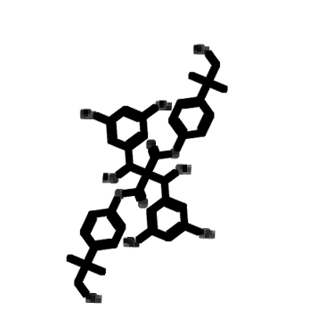 CC(C)(C)CC(C)(C)c1ccc(OC(=O)C(C(=O)Oc2ccc(C(C)(C)CC(C)(C)C)cc2)(C(O)c2cc(C(C)(C)C)cc(C(C)(C)C)c2)C(O)c2cc(C(C)(C)C)cc(C(C)(C)C)c2)cc1